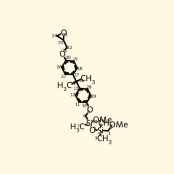 COC[Si](C)(C)O[Si](C)(COc1ccc(C(C)(C)c2ccc(OCC3CO3)cc2)cc1)OC